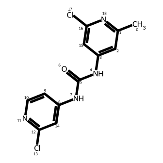 Cc1cc(NC(=O)Nc2ccnc(Cl)c2)cc(Cl)n1